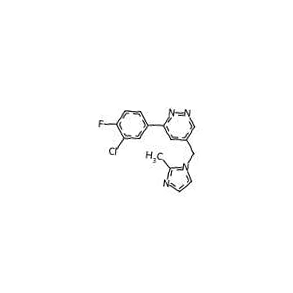 Cc1nccn1Cc1cnnc(-c2ccc(F)c(Cl)c2)c1